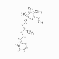 OCC1OC(OCCC(O)CCCc2ccccc2)C(O)C(O)C1O